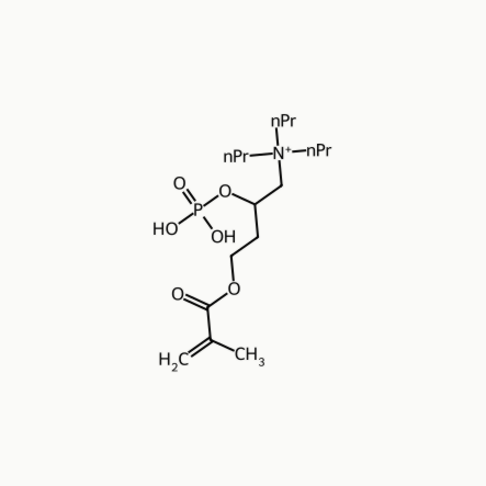 C=C(C)C(=O)OCCC(C[N+](CCC)(CCC)CCC)OP(=O)(O)O